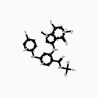 [2H]C([2H])([2H])NC(=O)c1cnc(Nc2ccc(F)cn2)cc1Nc1cn(C)c2c(F)cn(CC)c(=O)c12